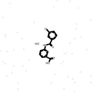 Cl.O=C(O)c1cccc(NC(=O)c2cccc(Cl)c2)c1